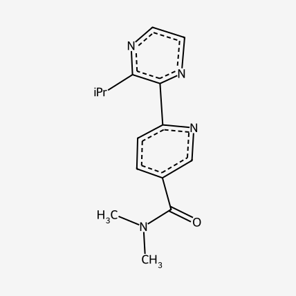 CC(C)c1nccnc1-c1ccc(C(=O)N(C)C)cn1